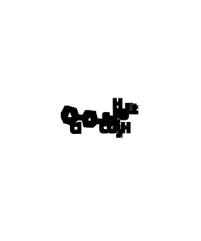 CCONC(=S)SC(C(=O)O)c1ccc(-c2ccccc2Cl)cc1